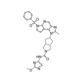 COc1nsc(NC(=O)N2CC3CC(n4c(C)nc5cnc6c(ccn6S(=O)(=O)c6ccccc6)c54)CC3C2)n1